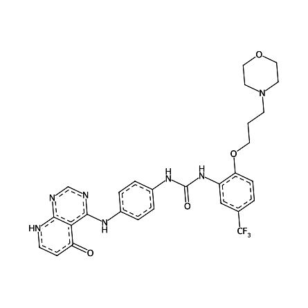 O=C(Nc1ccc(Nc2ncnc3[nH]ccc(=O)c23)cc1)Nc1cc(C(F)(F)F)ccc1OCCCN1CCOCC1